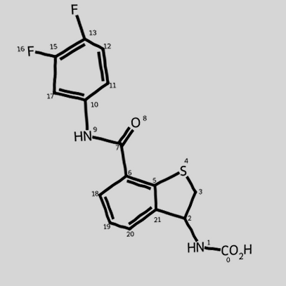 O=C(O)NC1CSc2c(C(=O)Nc3ccc(F)c(F)c3)cccc21